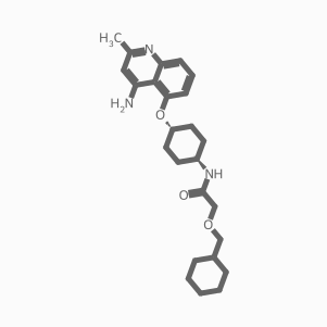 Cc1cc(N)c2c(O[C@H]3CC[C@H](NC(=O)COCC4CCCCC4)CC3)cccc2n1